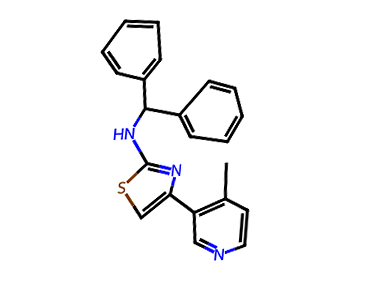 Cc1ccncc1-c1csc(NC(c2ccccc2)c2ccccc2)n1